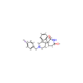 O=C1CCC(c2ccccc2)(C2CCN(Cc3ccc(I)cc3)CC2)C(=O)N1